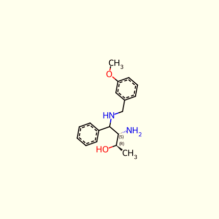 COc1cccc(CNC(c2ccccc2)[C@H](N)[C@@H](C)O)c1